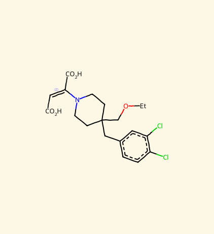 CCOCC1(Cc2ccc(Cl)c(Cl)c2)CCN(/C(=C\C(=O)O)C(=O)O)CC1